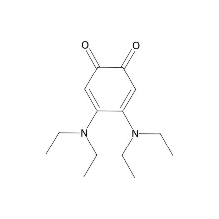 CCN(CC)C1=CC(=O)C(=O)C=C1N(CC)CC